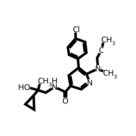 CCCN(C)c1ncc(C(=O)NCC(C)(O)C2CC2)cc1-c1ccc(Cl)cc1